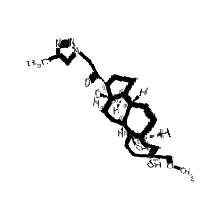 COC[C@@]1(O)CC[C@@]2(C)[C@@H](CC[C@@H]3[C@@H]2CC[C@]2(C)[C@@H](C(=O)Cn4cc(C)nn4)CC[C@@H]32)C1